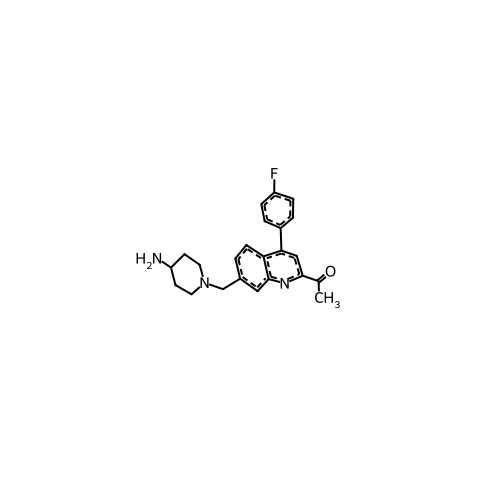 CC(=O)c1cc(-c2ccc(F)cc2)c2ccc(CN3CCC(N)CC3)cc2n1